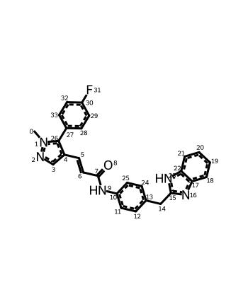 Cn1ncc(C=CC(=O)Nc2ccc(Cc3nc4ccccc4[nH]3)cc2)c1-c1ccc(F)cc1